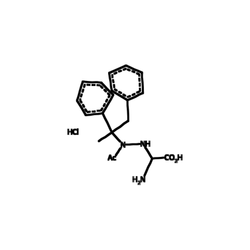 CC(=O)N(NC(N)C(=O)O)C(C)(Cc1ccccc1)c1ccccc1.Cl